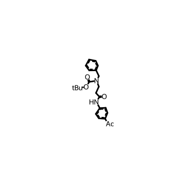 CC(=O)c1ccc(NC(=O)CCN(Cc2ccccc2)C(=O)OC(C)(C)C)cc1